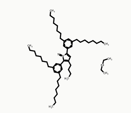 CCCCCCCCc1cc(CCCCCCCC)cc(C2=CC(CCCC)=C(c3cc(CCCCCCCC)cc(CCCCCCCC)c3)[N+]2=[N-])c1.C[CH2][Pd][CH2]C